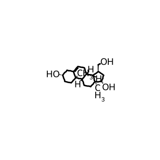 C[C@]12CC[C@H]3[C@@H](CC=C4C[C@@H](O)CC[C@@]43C)[C@@H]1[C@@H](CO)C[C@@H]2O